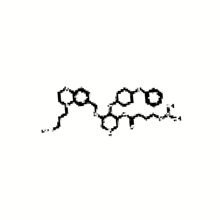 COCCCN1CCOc2ccc(COC3CNCC(OC(=O)CCCON(O)O)C3OC3CCC(Oc4ccccc4)CC3)cc21